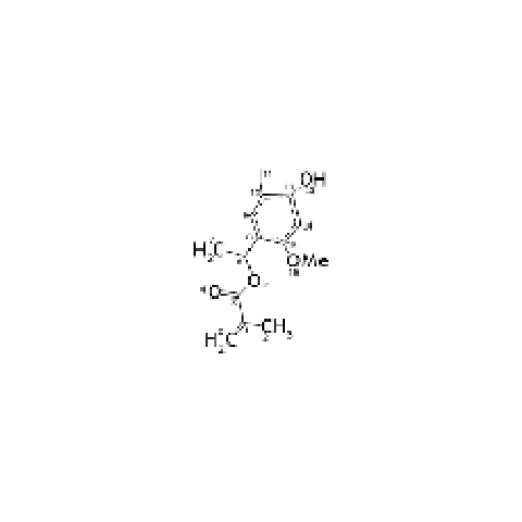 C=C(C)C(=O)OC(C)c1cc(I)c(O)cc1OC